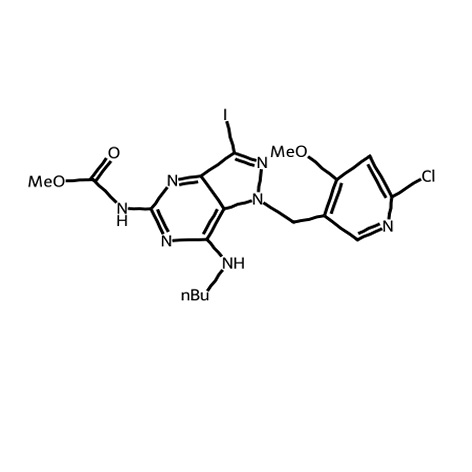 CCCCNc1nc(NC(=O)OC)nc2c(I)nn(Cc3cnc(Cl)cc3OC)c12